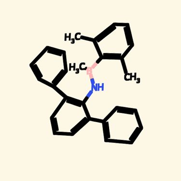 CB(Nc1c(-c2ccccc2)cccc1-c1ccccc1)c1c(C)cccc1C